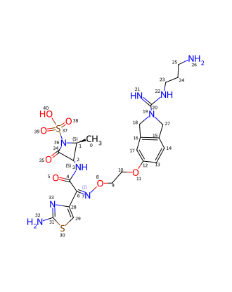 C[C@H]1[C@H](NC(=O)/C(=N\OCCOc2ccc3c(c2)CN(C(=N)NCCCN)C3)c2csc(N)n2)C(=O)N1S(=O)(=O)O